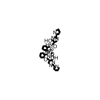 O=C(NC(O[PH](=O)OC(NC(=O)c1cnc(-c2ccccn2)nc1O)c1ccccc1)c1ccccc1)c1cnc(-c2ccccn2)nc1O